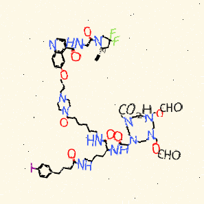 C#C[C@H]1CC(F)(F)CN1C(=O)CNC(=O)c1ccnc2ccc(OCCCN3CCN(C(=O)CCCCCNC(=O)C(CCCCNC(=O)CCCc4ccc(I)cc4)NC(=O)CN4CCN(COC=O)CCN(COC=O)CCN(CC(=O)O)CC4)CC3)cc12